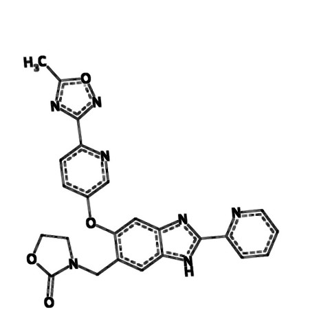 Cc1nc(-c2ccc(Oc3cc4nc(-c5ccccn5)[nH]c4cc3CN3CCOC3=O)cn2)no1